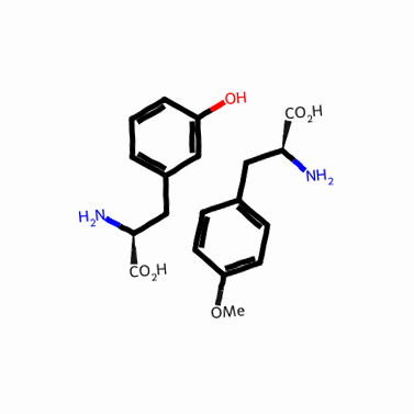 COc1ccc(C[C@H](N)C(=O)O)cc1.N[C@@H](Cc1cccc(O)c1)C(=O)O